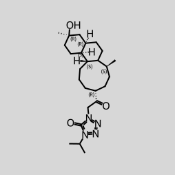 CC(C)n1nnn(CC(=O)[C@@H]2CCC[C@H]3C(CC[C@@H]4C[C@](C)(O)CC[C@@H]43)[C@@H](C)CC2)c1=O